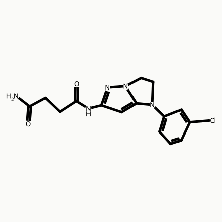 NC(=O)CCC(=O)Nc1cc2n(n1)CCN2c1cccc(Cl)c1